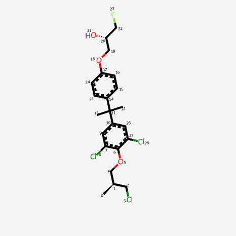 C[C@H](CCl)COc1c(Cl)cc(C(C)(C)c2ccc(OC[C@H](O)CF)cc2)cc1Cl